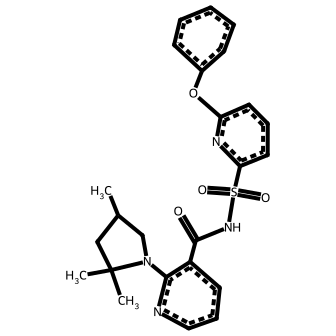 CC1CN(c2ncccc2C(=O)NS(=O)(=O)c2cccc(Oc3ccccc3)n2)C(C)(C)C1